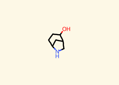 OC1CCC2CC1CN2